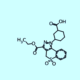 CCOC(=O)c1nn(C2CCCC(C(=O)O)C2)c2c1CS(=O)(=O)c1ccccc1-2